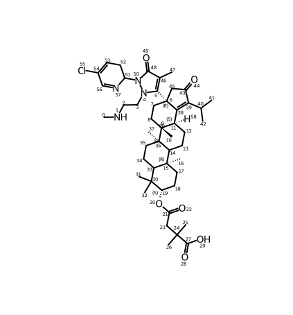 CNCCn1c([C@@]23CC[C@]4(C)[C@H](CCC5[C@@]6(C)CC[C@H](OC(=O)CC(C)(C)C(=O)O)C(C)(C)C6CC[C@]54C)C2=C(C(C)C)C(=O)C3)c(C)c(=O)n1C1CC=C(Cl)C=N1